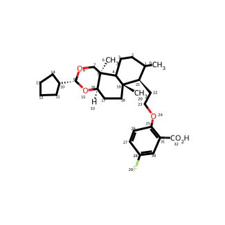 CC1CCC2[C@]3(C)CO[C@@H](C4CCCC4)O[C@@H]3CC[C@@]2(C)[C@@H]1CCOc1ccc(F)cc1C(=O)O